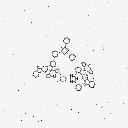 c1ccc(-c2nc(-c3ccccc3)nc(-c3cccc(-c4ccc5c(c4)-c4cc6sc7ccccc7c6cc4C54c5ccccc5Oc5c(-c6cccc(-c7nc(-c8ccccc8)nc(-c8cccc9c8-c8cc%10sc%11ccccc%11c%10cc8C98c9ccccc9Oc9ccccc98)n7)c6)cccc54)c3)n2)cc1